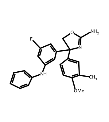 COc1ccc(C2(c3cc(F)cc(Nc4ccccc4)c3)COC(N)=N2)cc1C